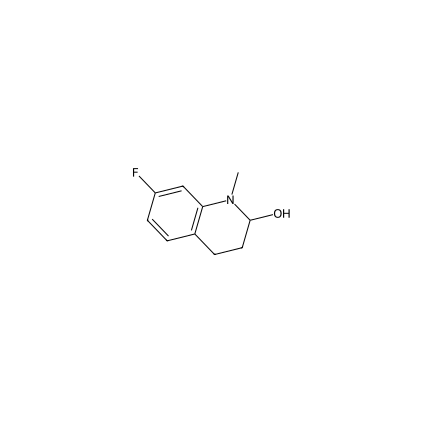 CN1c2cc(F)ccc2CCC1O